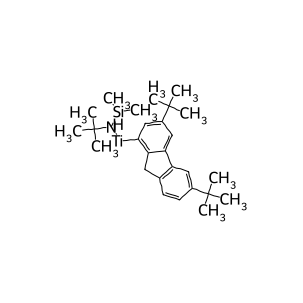 C[SiH](C)[N]([Ti][c]1cc(C(C)(C)C)cc2c1Cc1ccc(C(C)(C)C)cc1-2)C(C)(C)C